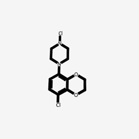 Clc1ccc(N2CCN(Cl)CC2)c2c1OCCO2